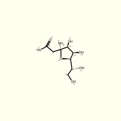 N[C@@]1(CC(=O)O)O[C@H]([C@H](O)CO)[C@H](O)[C@@H]1O